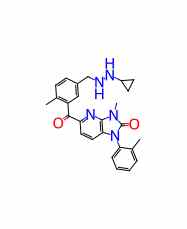 Cc1ccc(CNNC2CC2)cc1C(=O)c1ccc2c(n1)n(C)c(=O)n2-c1ccccc1C